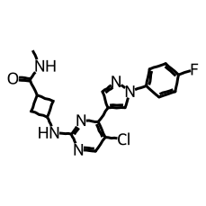 CNC(=O)C1CC(Nc2ncc(Cl)c(-c3cnn(-c4ccc(F)cc4)c3)n2)C1